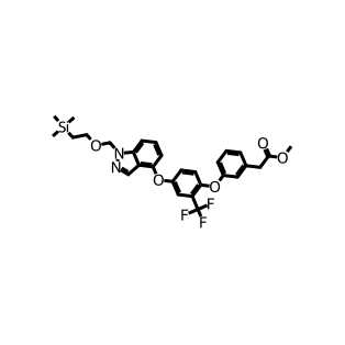 COC(=O)Cc1cccc(Oc2ccc(Oc3cccc4c3cnn4COCC[Si](C)(C)C)cc2C(F)(F)F)c1